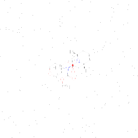 CN(C(=O)OC(C)(C)C)[C@@H]1C[C@H]2CCC[C@@H](C1)N2C(=O)OC1CCOCC1